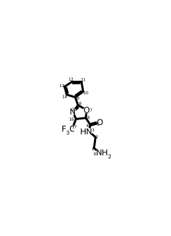 NCCNC(=O)C1OC(c2ccccc2)=NC1C(F)(F)F